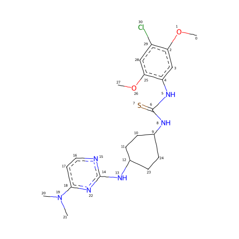 COc1cc(NC(=S)NC2CCC(Nc3nccc(N(C)C)n3)CC2)c(OC)cc1Cl